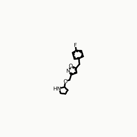 Fc1ccc(Cc2cc(COC3CCCN3)no2)cc1